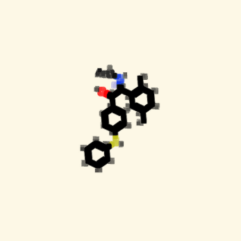 CC(=O)O/N=C(\C(=O)c1ccc(Sc2ccccc2)cc1)c1cc(C)ccc1C